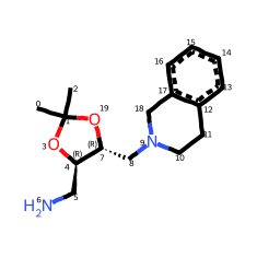 CC1(C)O[C@H](CN)[C@@H](CN2CCc3ccccc3C2)O1